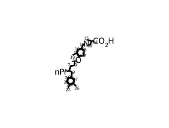 CCCC(CCCOc1ccc(CN2CC(C(=O)O)C2)cc1C)Cc1ccc(C)c(C)c1